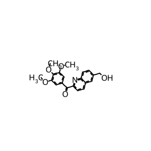 COc1cc(C(=O)c2ccc3cc(CO)ccc3n2)cc(OC)c1OC